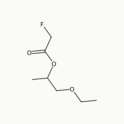 CCOCC(C)OC(=O)CF